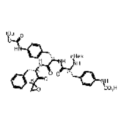 CCCCCCN[C@H](Cc1ccc(NC(=O)O)cc1)C(=O)N[C@@H](Cc1ccc(NC(=O)OC(C)(C)C)cc1)C(=O)N[C@@H](Cc1ccccc1)C(=O)[C@@]1(C)CO1